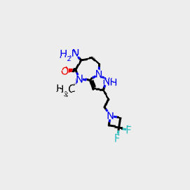 CN1C(=O)C(N)CCN2NC(CCN3CC(F)(F)C3)C=C21